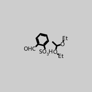 CCOC(C)OCC.O=Cc1ccccc1S(=O)(=O)O